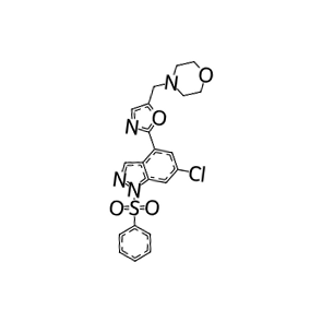 O=S(=O)(c1ccccc1)n1ncc2c(-c3ncc(CN4CCOCC4)o3)cc(Cl)cc21